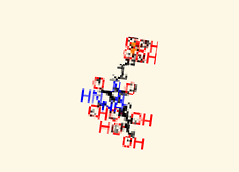 O=c1[nH]c(=O)c2c([nH]1)n(C[C@H](O)[C@H](O)[C@H](O)CO)c(=O)n2CCCCOP(=O)(O)O